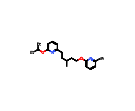 CCC(CC)Oc1cccc(CCC(C)CCOc2cccc(C(C)C)n2)n1